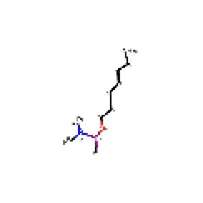 CC(=O)NCCCCCCOP(C)N(C(C)C)C(C)C